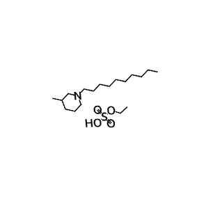 CCCCCCCCCCN1CCCC(C)C1.CCOS(=O)(=O)O